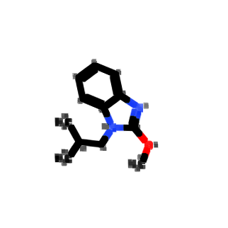 COc1nc2ccccc2n1CC(C)C